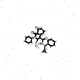 Cc1c(C(=O)N[C@H](c2ccccc2)C2CC2)c2cccc(F)c2c(=O)n1-c1ccccc1